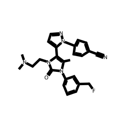 Cc1c(-c2ccnn2-c2ccc(C#N)cc2)n(CCN(C)C)c(=O)n1-c1cccc(CF)c1